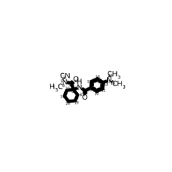 CN(C#N)C(=O)C1(NC(=O)c2ccc(N(C)C)cc2)CCCCC1